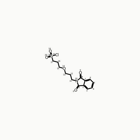 O=C1c2ccccc2C(=O)N1CCCOCCCS(=O)(=O)Cl